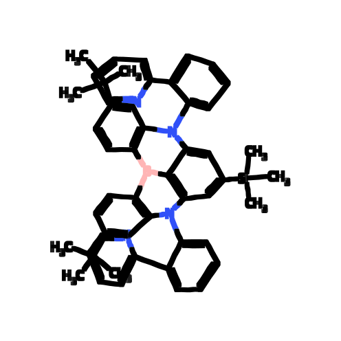 CC(C)(C)c1ccc2c(c1)N(c1ccccc1-c1ccccn1)c1cc([Si](C)(C)C)cc3c1B2c1ccc(C(C)(C)C)cc1N3c1ccccc1-c1ccccn1